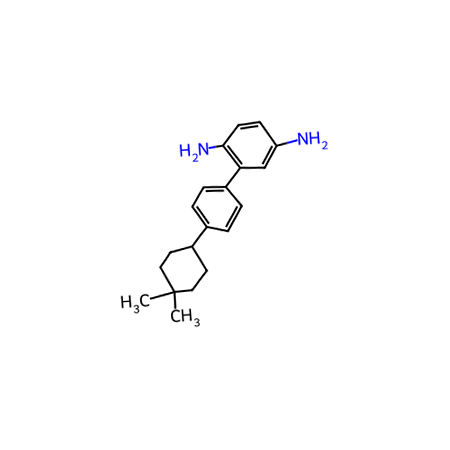 CC1(C)CCC(c2ccc(-c3cc(N)ccc3N)cc2)CC1